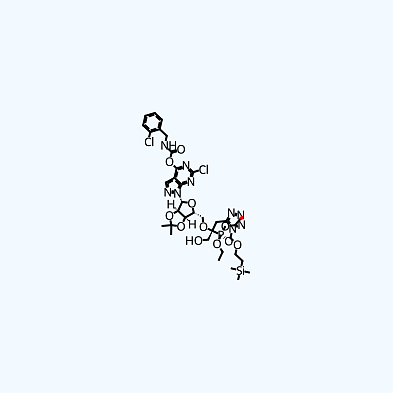 CCOP(=O)(OCC)[C@@](CO)(Cc1nnnn1COCC[Si](C)(C)C)OC[C@H]1O[C@@H](n2ncc3c(OC(=O)NCc4ccccc4Cl)nc(Cl)nc32)[C@@H]2OC(C)(C)O[C@@H]21